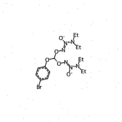 CCN(CC)[N+]([O-])=NOC(ON=[N+]([O-])N(CC)CC)Oc1ccc(Br)cc1